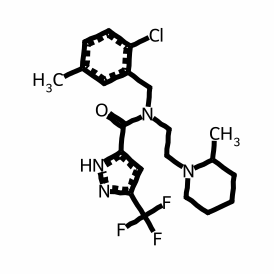 Cc1ccc(Cl)c(CN(CCN2CCCCC2C)C(=O)c2cc(C(F)(F)F)n[nH]2)c1